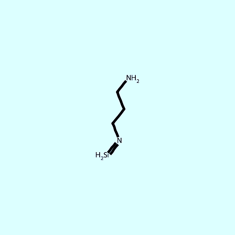 NCCCN=[SiH2]